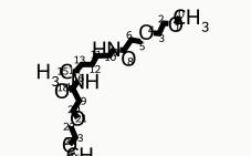 COCCOCCC(=O)NCCCCC(C)NC(=O)CCOCCOC